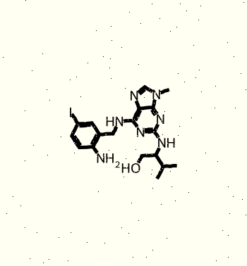 CC(C)C(CO)Nc1nc(NCc2cc(I)ccc2N)c2ncn(C)c2n1